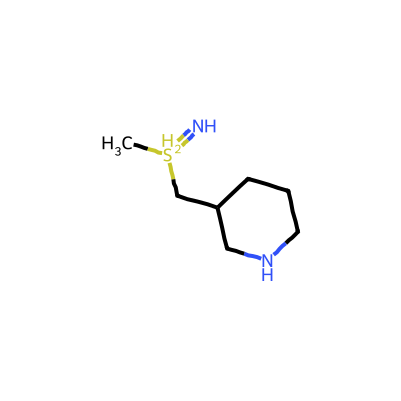 C[SH2](=N)CC1CCCNC1